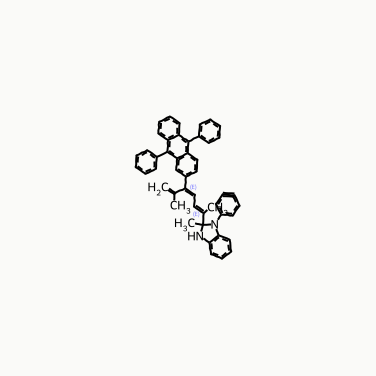 C=C(C)/C(=C\C=C(/C)C1(C)Nc2ccccc2N1c1cc#ccc1)c1ccc2c(-c3ccccc3)c3ccccc3c(-c3ccccc3)c2c1